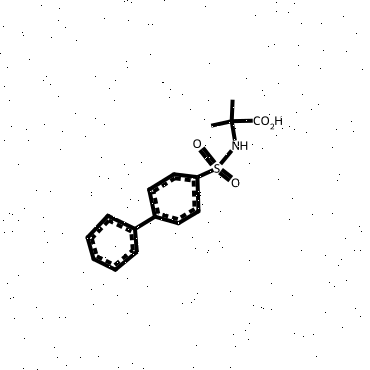 CC(C)(NS(=O)(=O)c1ccc(-c2ccccc2)cc1)C(=O)O